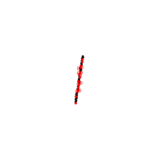 CCCCCCCCCOC(=O)CCCCOC(=O)CCCCCOC(=O)OCCC(=O)OCCCCCCCCC